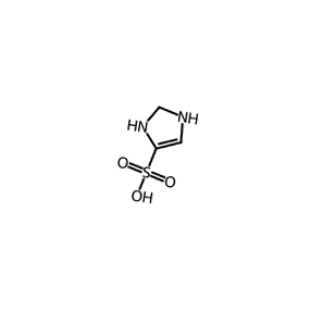 O=S(=O)(O)C1=CNCN1